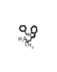 CN(C)Cc1cc2ccccc2n1Cc1ccccc1